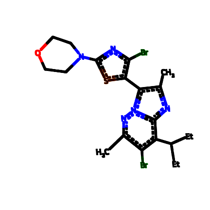 CCC(CC)c1c(Br)c(C)nn2c(-c3sc(N4CCOCC4)nc3Br)c(C)nc12